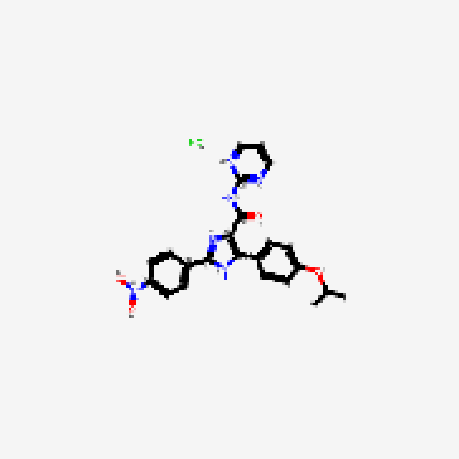 CC(C)Oc1ccc(-c2[nH]c(-c3ccc([N+](=O)[O-])cc3)nc2C(=O)Nc2ncccn2)cc1.Cl